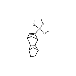 CO[Si](OC)(OC)C1=CC2CC1C1C3CCC(C3)C21